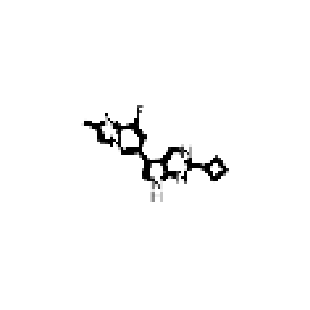 Cc1cn2cc(-c3c[nH]c4nc(C5CCC5)ncc34)cc(F)c2n1